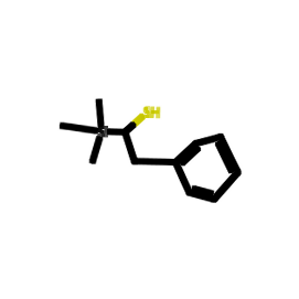 C[Si](C)(C)C(S)Cc1ccccc1